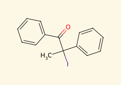 CC(I)(C(=O)c1ccccc1)c1ccccc1